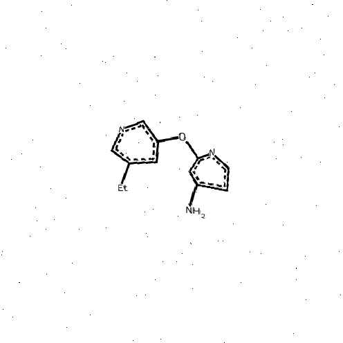 CCc1cncc(Oc2cc(N)ccn2)c1